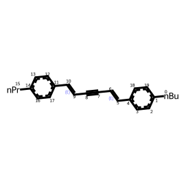 CCCCc1ccc(/C=C/C#C/C=C/c2ccc(CCC)cc2)cc1